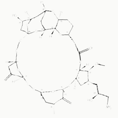 C=C1C[C@@H]2CC[C@]34C[C@@H](O)[C@H](O3)[C@H]3C[C@@H](O4)[C@H]4O[C@H](CC[C@@H]4O3)CC(=O)C[C@H]3[C@@H](C[C@H](C[C@H](O)CN)[C@@H]3OC)C[C@H]3O[C@@H](CC[C@@H]1O2)C[C@@H](C)C3=C